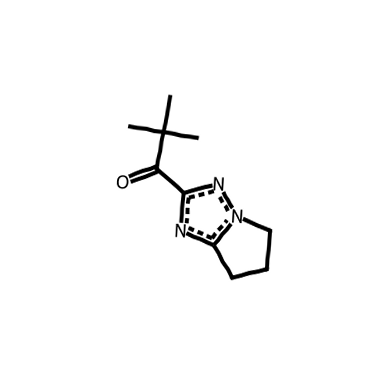 CC(C)(C)C(=O)c1nc2n(n1)CCC2